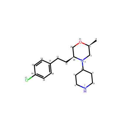 C[C@H]1CN(C2CCNCC2)[C@@H](CCc2ccc(Cl)cc2)CO1